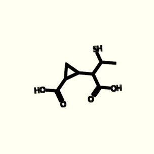 CC(S)C(C(=O)O)C1CC1C(=O)O